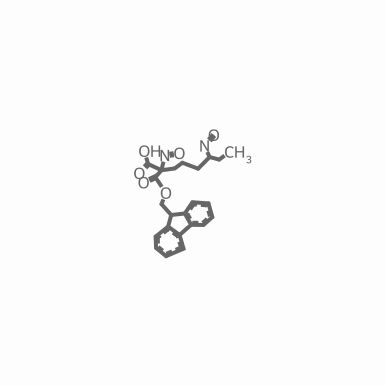 CCC(CCCC(N=O)(C(=O)O)C(=O)OCC1c2ccccc2-c2ccccc21)N=O